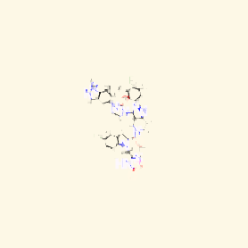 CC[C@](C)(c1noc(=O)[nH]1)n1c(C(=O)N2CCc3nn(-c4cc(C)c(F)c(C)c4)c(-n4ccn(-c5ccc6c(cnn6C)c5)c4=O)c3C2)cc2cc(Br)ccc21